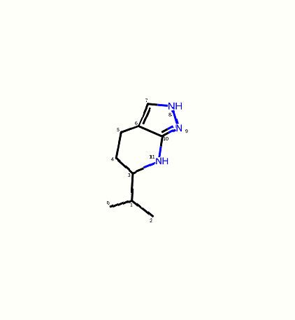 CC(C)C1CCc2c[nH]nc2N1